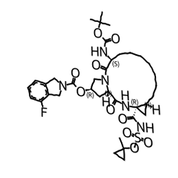 CC(C)(C)OC(=O)N[C@H]1CCCCCCC[C@@H]2C[C@@]2(C(=O)NS(=O)(=O)OC2(C)CC2)NC(=O)[C@@H]2C[C@@H](OC(=O)N3Cc4cccc(F)c4C3)CN2C1=O